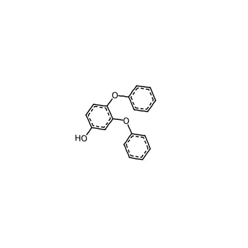 Oc1ccc(Oc2ccccc2)c(Oc2ccccc2)c1